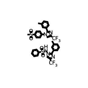 Cc1cccc(-c2nc(C(F)(F)F)cn2-c2ccc(S(C)(=O)=O)cc2)c1.Cc1cccc(-c2nc(C(F)(F)F)cn2NS(=O)(=O)c2ccccc2)c1